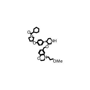 COCCCN1CCOc2ccc(CO[C@H]3CNCC[C@@H]3c3ccc(O[C@H]4CCN(C(=O)C5CCCCC5)C4)cc3)cc21